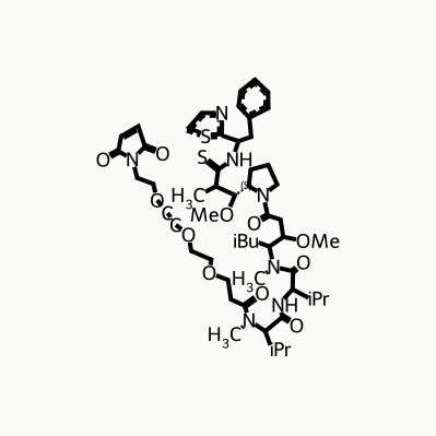 CCC(C)C(C(CC(=O)N1CCC[C@H]1C(OC)C(C)C(=S)NC(Cc1ccccc1)c1nccs1)OC)N(C)C(=O)C(NC(=O)C(C(C)C)N(C)C(=O)CCOCCOCCOCCN1C(=O)C=CC1=O)C(C)C